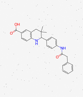 CC1(C)Cc2cc(C(=O)O)ccc2NC1c1ccc(NC(=O)Cc2ccccc2)cc1